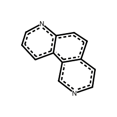 c1cnc2ccc3ccncc3c2c1